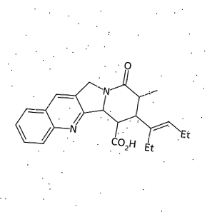 CCC=C(CC)C1C(C)C(=O)N2Cc3cc4ccccc4nc3C2C1C(=O)O